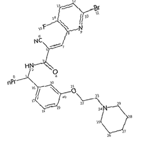 CCCC(NC(=O)/C(C#N)=C/c1nc(Br)ccc1F)c1cccc(OCCN2CCCCC2)c1